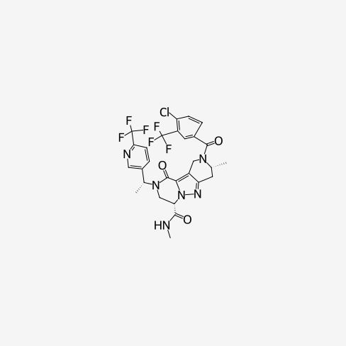 CNC(=O)[C@@H]1CN([C@H](C)c2ccc(C(F)(F)F)nc2)C(=O)c2c3c(nn21)C[C@@H](C)N(C(=O)c1ccc(Cl)c(C(F)(F)F)c1)C3